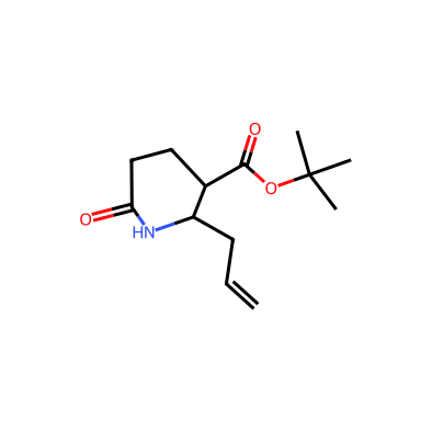 C=CCC1NC(=O)CCC1C(=O)OC(C)(C)C